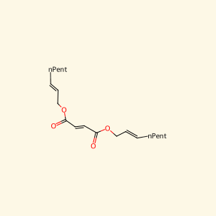 CCCCCC=CCOC(=O)C=CC(=O)OCC=CCCCCC